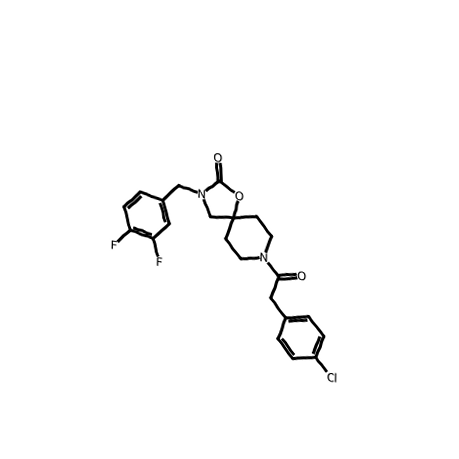 O=C(Cc1ccc(Cl)cc1)N1CCC2(CC1)CN(Cc1ccc(F)c(F)c1)C(=O)O2